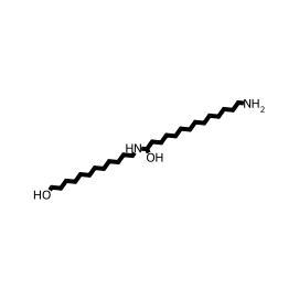 NCCCCCCCCCCCCCC(O)NCCCCCCCCCCCCO